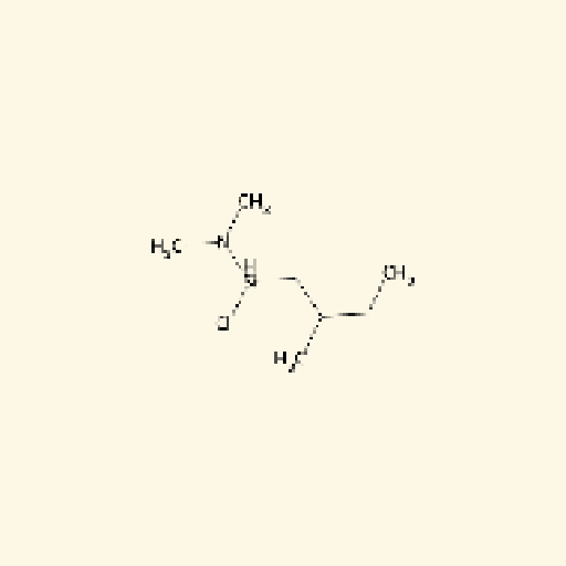 CCC(C)C[SiH](Cl)N(C)C